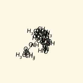 CCC(C)(CC)SC1CC(=O)N(CCCCCC(=O)NCCCCCC(=O)Nc2cc(CSP3(=O)OC[C@H]4O[C@@H](n5cnc6c(=O)[nH]cnc65)[C@H](F)[C@@H]4OP(=O)(S)OC[C@H]4O[C@@H](n5cnc6c(N)ncnc65)[C@H](F)[C@@H]4O3)ccc2O[C@@H]2OC(C(=O)OC)[C@@H](OC(C)=O)C(OC(C)=O)C2OC(C)=O)C1=O